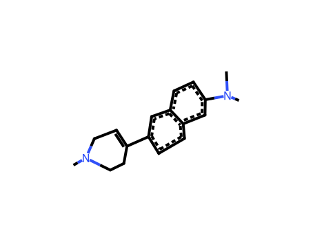 CN1CC=C(c2ccc3cc(N(C)C)ccc3c2)CC1